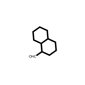 O=[C]C1CCCC2CCCCC12